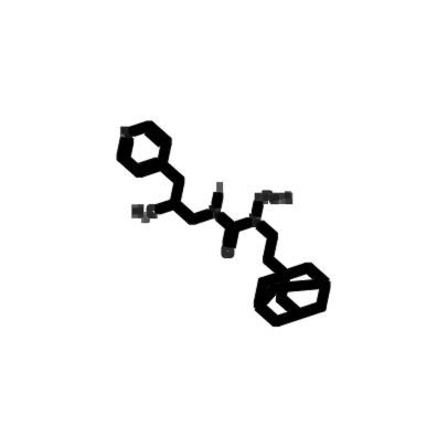 CCCCCN(CCC12CC3CC(CC(C3)C1)C2)C(=O)N(I)CC(C)Cc1ccncc1